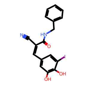 N#CC(=Cc1cc(O)c(O)c(I)c1)C(=O)NCc1ccccc1